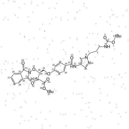 CC(C)(C)OC(=O)NCCCn1cc(NC(=O)c2ccc(OC[C@H](ON3C(=O)c4ccccc4C3=O)[SiH2]C(=O)OC(C)(C)C)cc2)cn1